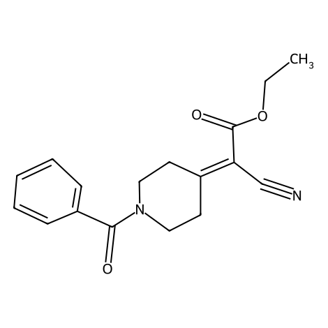 CCOC(=O)C(C#N)=C1CCN(C(=O)c2ccccc2)CC1